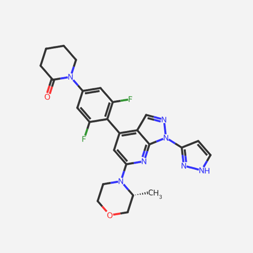 C[C@@H]1COCCN1c1cc(-c2c(F)cc(N3CCCCC3=O)cc2F)c2cnn(-c3cc[nH]n3)c2n1